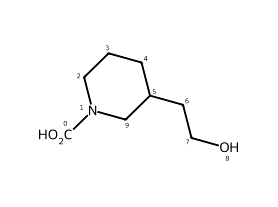 O=C(O)N1CCCC(CCO)C1